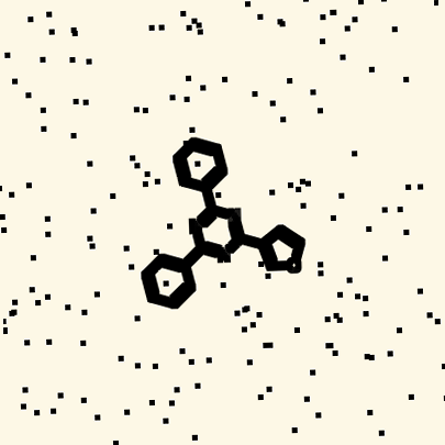 c1ccc(-c2nc(-c3ccccc3)nc(-c3ccoc3)n2)cc1